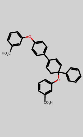 O=C(O)c1cccc(Oc2ccc(C3=CCC(Oc4cccc(C(=O)O)c4)(c4ccccc4)C=C3)cc2)c1